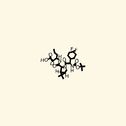 CCCC(NC(=O)C1[C@H]2[C@@H](CN1C(=O)C(NC(=O)OC(C)(C)C)C1CCC(F)(F)CC1)C2(C)C)C(=O)C(=O)O